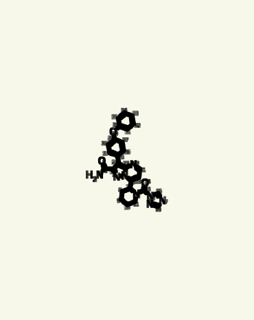 NC(=O)c1nn2c(C3CCCCN3C(=O)n3cncn3)ccnc2c1-c1ccc(Oc2ccccc2)cc1